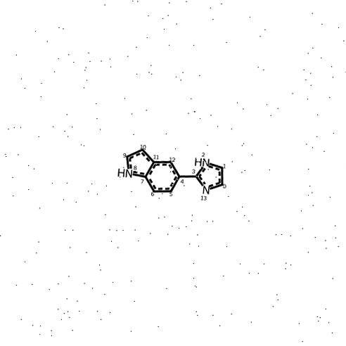 c1c[nH]c(-c2ccc3[nH]ccc3c2)n1